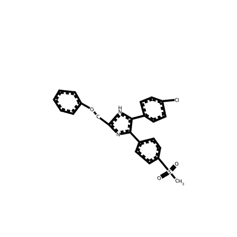 CS(=O)(=O)c1ccc(-c2nc(COc3ccccc3)[nH]c2-c2ccc(Cl)cc2)cc1